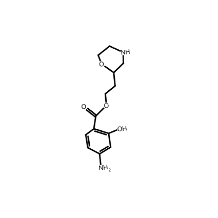 Nc1ccc(C(=O)OCCC2CNCCO2)c(O)c1